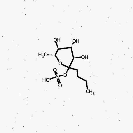 CCCCC1(OS(=O)(=O)O)O[C@H](C)[C@@H](O)[C@H](O)[C@H]1O